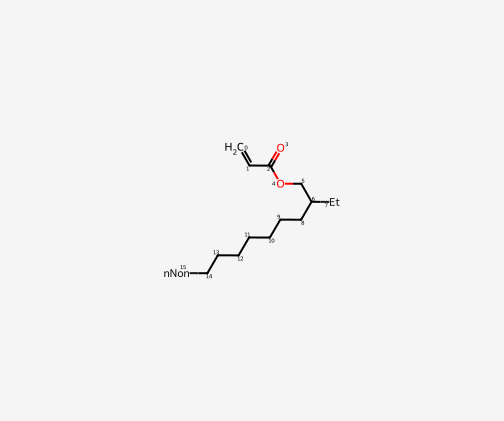 C=CC(=O)OCC(CC)CCCCCCCCCCCCCCCC